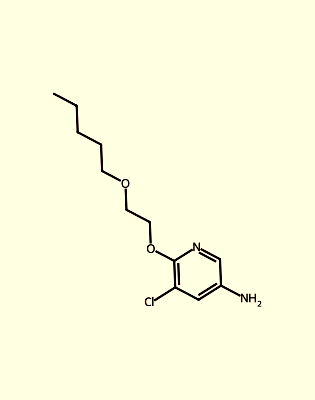 CCCCCOCCOc1ncc(N)cc1Cl